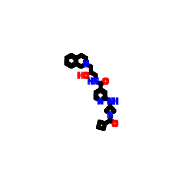 O=C(NC[C@H](O)CN1CCc2ccccc2C1)c1ccnc(NC2CN(C(=O)C3CCC3)C2)c1